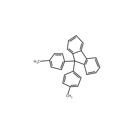 Cc1ccc(C2(c3ccc(C)cc3)c3[c]cccc3-c3ccccc32)cc1